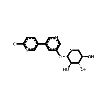 O[C@@H]1[C@@H](O)[C@H](Oc2cncc(-c3ccc(Cl)nc3)c2)SC[C@H]1O